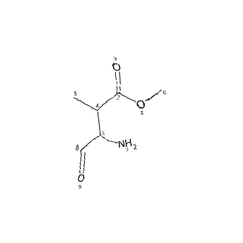 COC(=O)C(C)C(N)C=O